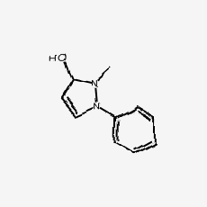 CN1C(O)C=CN1c1ccccc1